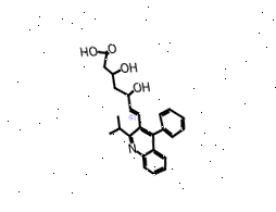 CC(C)c1nc2ccccc2c(-c2ccccc2)c1/C=C/C(O)CC(O)CC(=O)O